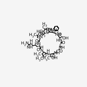 CC[C@H](C)[C@@H]1NC(=O)[C@@H](CCCNC(=N)N)NC(=O)[C@H](CC(C)C)NC(=O)[C@H]([C@H](O)C(C)C)NC(=O)[C@@H](N)[C@@H](c2ccccc2)NC(=O)C(CO)NC(=O)CNC(=O)CNC(=O)[C@H]([C@H](C)O)NC1=O